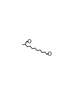 CC(C=O)CCCCCCCCC=O